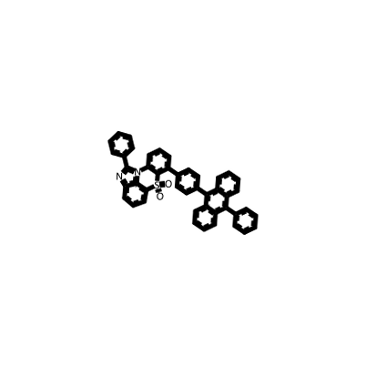 O=S1(=O)c2c(-c3ccc(-c4c5ccccc5c(-c5ccccc5)c5ccccc45)cc3)cccc2-n2c(-c3ccccc3)nc3cccc1c32